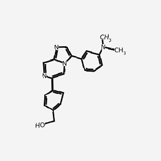 CN(C)c1cccc(-c2cnc3cnc(-c4ccc(CO)cc4)cn23)c1